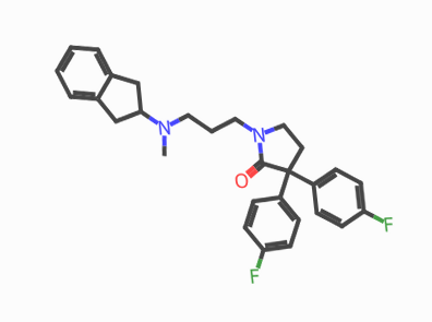 CN(CCCN1CCC(c2ccc(F)cc2)(c2ccc(F)cc2)C1=O)C1Cc2ccccc2C1